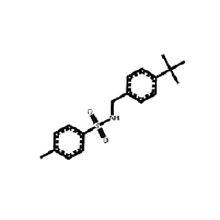 Cc1ccc(S(=O)(=O)NCc2ccc(C(C)(C)C)cc2)cc1